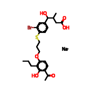 CCCc1c(OCCCSc2ccc(C(O)C(C)CC(=O)O)cc2Br)ccc(C(C)=O)c1O.[Na]